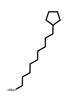 CCCCCCCCCCCCCCCCCCC1CCCC1